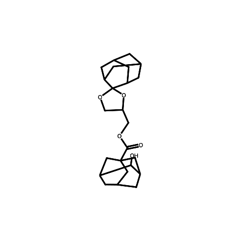 O=C(OCC1COC2(O1)C1CC3CC(C1)CC2C3)C12CC3CC(C1)C(O)C(C3)C2